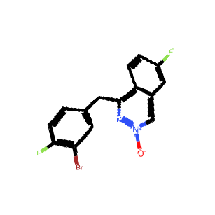 [O-][n+]1cc2cc(F)ccc2c(Cc2ccc(F)c(Br)c2)n1